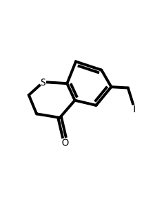 O=C1CCSc2ccc(CI)cc21